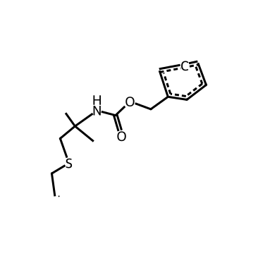 [CH2]CSCC(C)(C)NC(=O)OCc1ccccc1